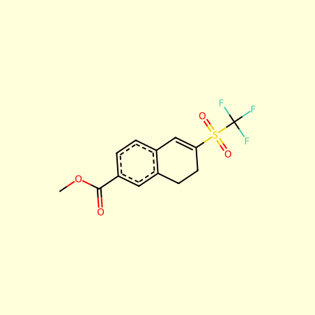 COC(=O)c1ccc2c(c1)CCC(S(=O)(=O)C(F)(F)F)=C2